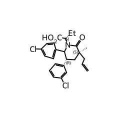 C=CC[C@@]1(C)C[C@H](c2cccc(Cl)c2)C(c2ccc(Cl)cc2)N([C@@H](CC)C(=O)O)C1=O